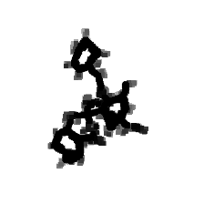 CCCCCC(CC)(Pc1ccccc1C(C)=O)c1cc(C(C)(C)C)cc(C)c1OCc1ccccc1